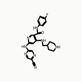 N#Cc1cnc(Nc2cc(NCC3CCNCC3)c(C(=O)Nc3ccc(F)cc3)cn2)cn1